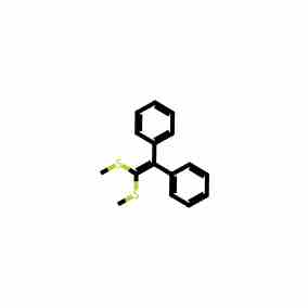 CSC(SC)=C(c1ccccc1)c1ccccc1